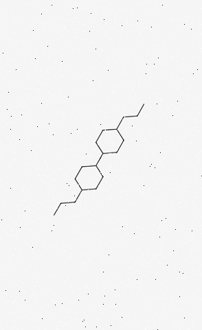 CCCC1CCC(C2CCC(CCC)CC2)CC1